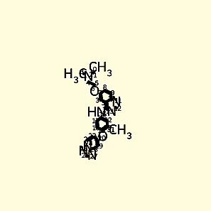 CCN(C)CCOc1ccc2ncnc(Nc3ccc(Oc4ccn5ncnc5c4)c(C)c3)c2c1